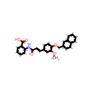 COc1cc(/C=C/C(=O)Nc2ccccc2C(=O)O)ccc1OCc1ccc2ccccc2c1